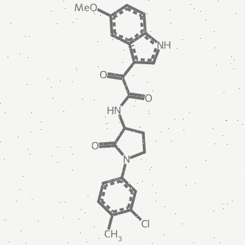 COc1ccc2[nH]cc(C(=O)C(=O)NC3CCN(c4ccc(C)c(Cl)c4)C3=O)c2c1